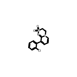 O=S1(=O)CCN2C=CC=C(c3ccccc3Cl)C2=N1